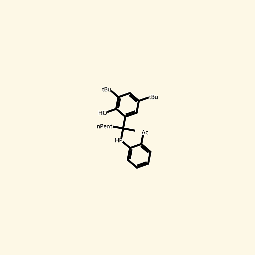 CCCCCC(C)(Pc1ccccc1C(C)=O)c1cc(C(C)(C)C)cc(C(C)(C)C)c1O